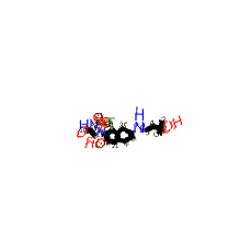 CC(C)(O)CCNC1CCc2cc(O)c(N3CC(=O)NS3(=O)=O)c(F)c2C1